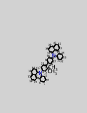 CC1(C)CC(N(c2ccccc2)c2cccc3ccccc23)=CC=C1c1ccc(N(c2ccccc2)c2cccc3ccccc23)cc1